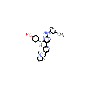 CCC[C@H](C)Nc1ncc(-c2ccc(C[C@H]3CCCN3C)cn2)c(N[C@H]2CC[C@H](O)CC2)n1